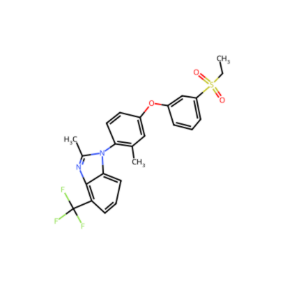 CCS(=O)(=O)c1cccc(Oc2ccc(-n3c(C)nc4c(C(F)(F)F)cccc43)c(C)c2)c1